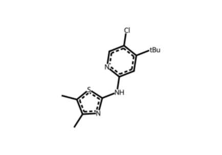 Cc1nc(Nc2cc(C(C)(C)C)c(Cl)cn2)sc1C